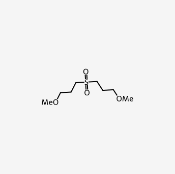 COCCCS(=O)(=O)CCCOC